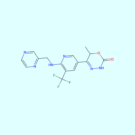 CC1OC(=O)NN=C1c1cnc(NCc2cnccn2)c(C(F)(F)F)c1